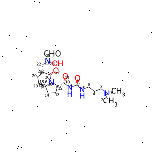 CN(C)CCCNC(=O)NC(=O)[C@@H]1CCC23CCCC2C[C@H](CN(O)C=O)C(=O)N13